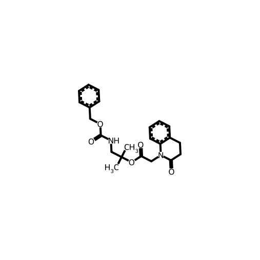 CC(C)(CNC(=O)OCc1ccccc1)OC(=O)CN1C(=O)CCc2ccccc21